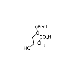 CC(=O)O.CCCCCOCCO